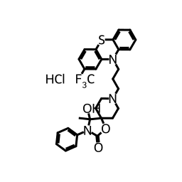 CC1(O)N(c2ccccc2)C(=O)OC12CCN(CCCN1c3ccccc3Sc3ccc(C(F)(F)F)cc31)CC2.Cl